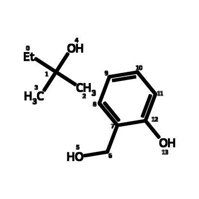 CCC(C)(C)O.OCc1ccccc1O